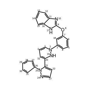 C1=CN(c2cccc(Oc3nc4ccccc4[nH]3)c2)NC(c2ccnn2-c2ccccc2)=C1